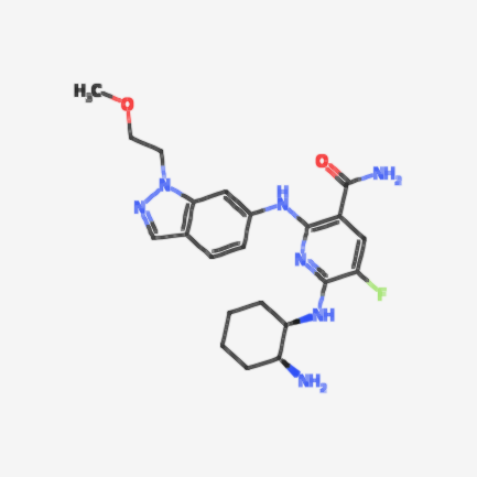 COCCn1ncc2ccc(Nc3nc(N[C@@H]4CCCC[C@@H]4N)c(F)cc3C(N)=O)cc21